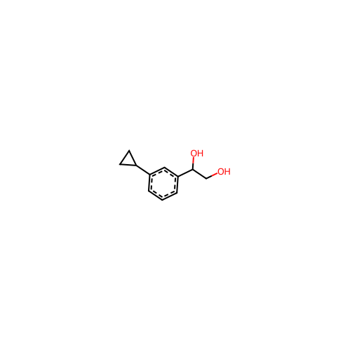 OCC(O)c1cccc(C2CC2)c1